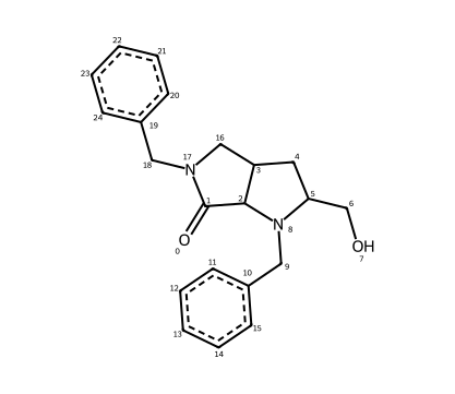 O=C1C2C(CC(CO)N2Cc2ccccc2)CN1Cc1ccccc1